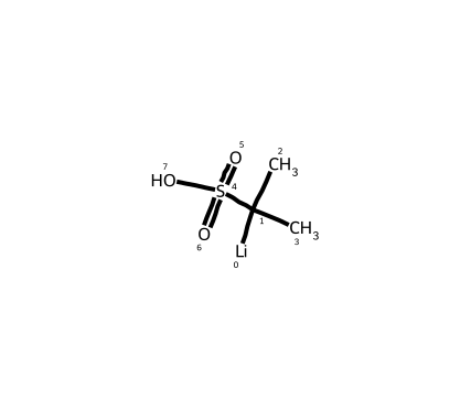 [Li][C](C)(C)S(=O)(=O)O